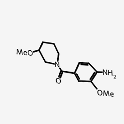 COc1cc(C(=O)N2CCCC(OC)C2)ccc1N